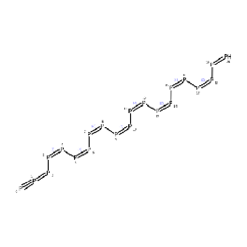 P#P=P\P=P/P=P\P=P/P=P\P=P/P=P\P=P/P=P\P=P